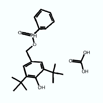 CC(C)(C)c1cc(CO[PH](=O)c2ccccc2)cc(C(C)(C)C)c1O.O=C(O)O